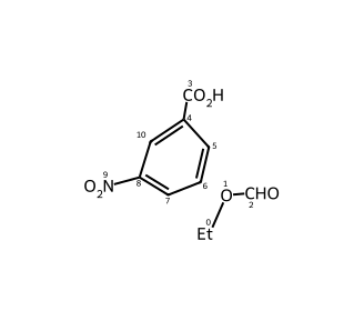 CCOC=O.O=C(O)c1cccc([N+](=O)[O-])c1